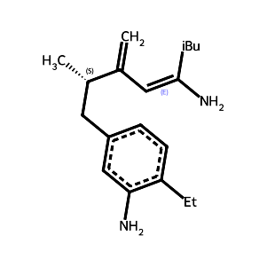 C=C(/C=C(/N)C(C)CC)[C@@H](C)Cc1ccc(CC)c(N)c1